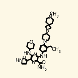 CCc1cc(Nc2nc(NC3CCOCC3)c(-c3cc[nH]n3)nc2C(N)=O)ccc1N1CCC(N2CC3(CCN(C)CC3)C2)CC1